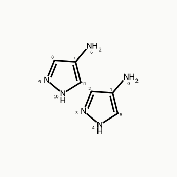 Nc1cn[nH]c1.Nc1cn[nH]c1